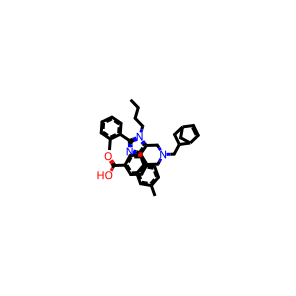 CCCCn1c(-c2ccccc2C)nc(-c2ccc(C)cc2)c1CN(Cc1ccc(C(=O)O)cc1)CC1CC2C=CC1C2